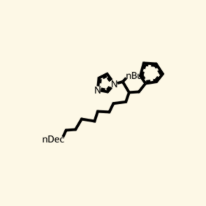 CCCCCCCCCCCCCCCCCCC(Cc1ccccc1)C(CCCC)n1ccnc1